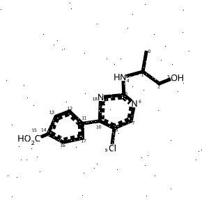 CC(CO)Nc1ncc(Cl)c(-c2ccc(C(=O)O)cc2)n1